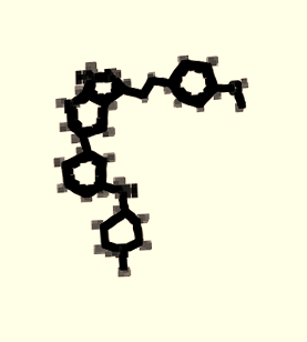 COc1ccc(CCc2n[nH]c3ncc(-c4cccc(NC5CCN(C)CC5)c4)cc23)cc1